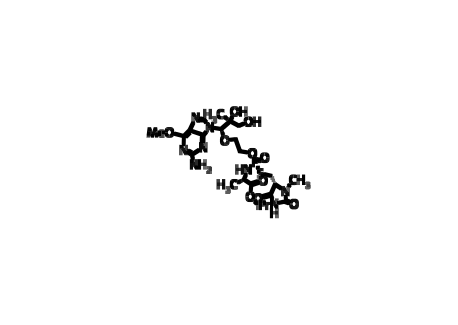 COc1nc(N)nc2c1ncn2[C@H](OCCO[P@](=O)(N[C@H](C)C(=O)OC(C)C)SC[C@H]1C(=O)NC(=O)N1C)[C@](C)(O)CO